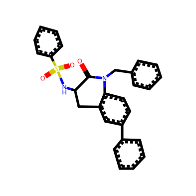 O=C1C(NS(=O)(=O)c2ccccc2)Cc2cc(-c3ccccc3)ccc2N1Cc1ccccc1